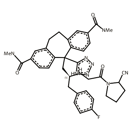 CNC(=O)c1ccc2c(c1)CCc1cc(C(=O)NC)ccc1C2(C[C@H](Cc1ccc(F)cc1)NCC(=O)N1CCCC1C#N)c1nnn[nH]1